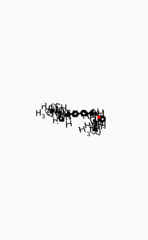 COC(=O)NC(C(=O)N1CCC[C@H]1c1ncc(-c2ccc(-c3ccc(-c4cnc([C@@H]5[C@H]6CC[C@H](C6)[C@H]5C(=O)NNC(C)=O)[nH]4)cc3)cc2)[nH]1)C(C)C